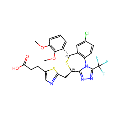 COc1cccc([C@H]2S[C@H](Cc3ncc(CCC(=O)O)s3)c3nnc(C(F)(F)F)n3-c3ccc(Cl)cc32)c1OC